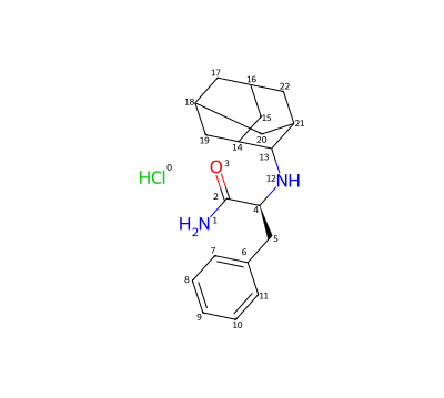 Cl.NC(=O)[C@H](Cc1ccccc1)NC1C2CC3CC(C2)CC1C3